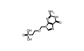 Nc1nc2c(ncn2COCCP(=O)(O)O)c(=O)[nH]1